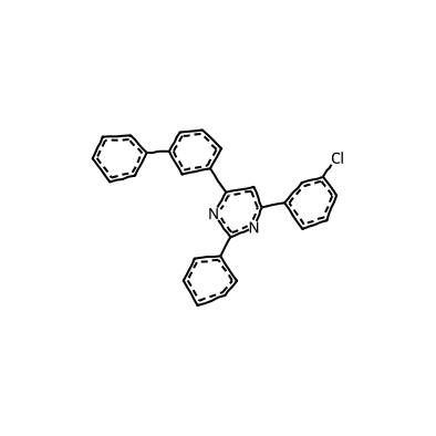 Clc1cccc(-c2cc(-c3cccc(-c4ccccc4)c3)nc(-c3ccccc3)n2)c1